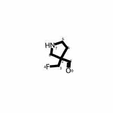 O=CC1(CF)CCNC1